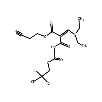 CCN(C=C(C(=O)OCCC#N)C(=S)NC(=O)OCC(Cl)(Cl)Cl)CC